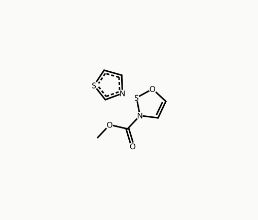 COC(=O)N1C=COS1.c1cscn1